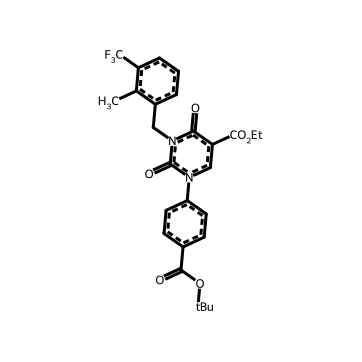 CCOC(=O)c1cn(-c2ccc(C(=O)OC(C)(C)C)cc2)c(=O)n(Cc2cccc(C(F)(F)F)c2C)c1=O